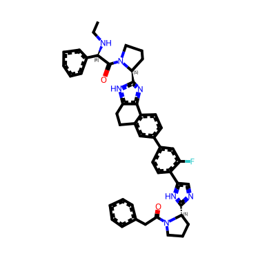 CCN[C@@H](C(=O)N1CCC[C@H]1c1nc2c([nH]1)CCc1cc(-c3ccc(-c4cnc([C@@H]5CCCN5C(=O)Cc5ccccc5)[nH]4)c(F)c3)ccc1-2)c1ccccc1